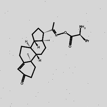 CC(=NOC(=O)[C@@H](N)C(C)C)[C@H]1CC[C@H]2[C@@H]3CCC4=CC(=O)CC[C@]4(C)[C@H]3CC[C@]12C